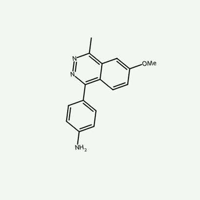 COc1ccc2c(-c3ccc(N)cc3)nnc(C)c2c1